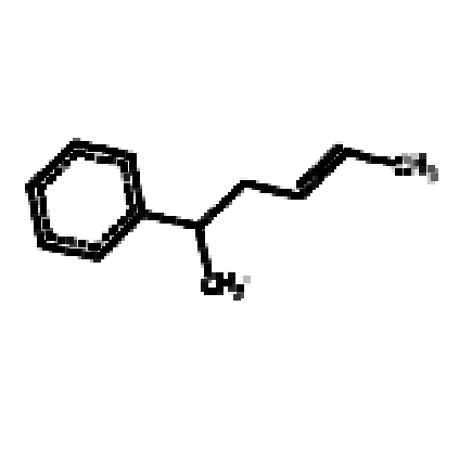 [CH2]C(C/C=C/C)c1ccccc1